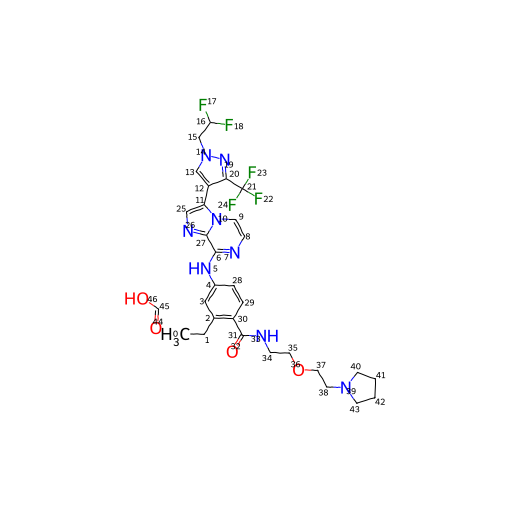 CCc1cc(Nc2nccn3c(-c4cn(CC(F)F)nc4C(F)(F)F)cnc23)ccc1C(=O)NCCOCCN1CCCC1.O=CO